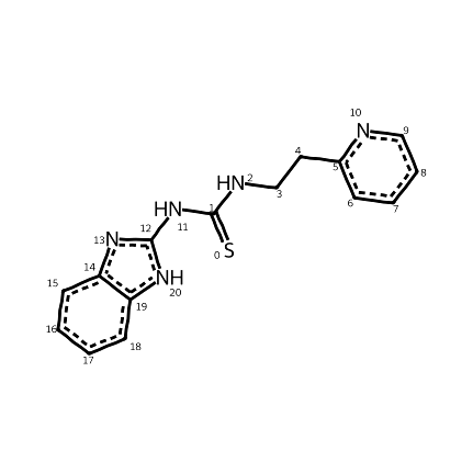 S=C(NCCc1ccccn1)Nc1nc2ccccc2[nH]1